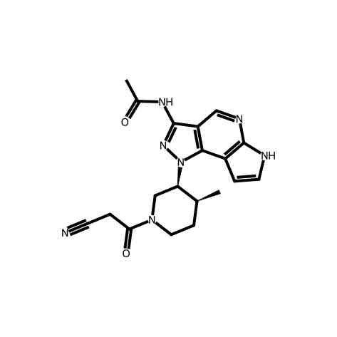 CC(=O)Nc1nn([C@@H]2CN(C(=O)CC#N)CC[C@@H]2C)c2c1cnc1[nH]ccc12